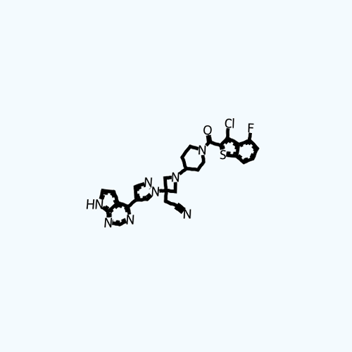 N#CCC1(n2cc(-c3ncnc4[nH]ccc34)cn2)CN(C2CCN(C(=O)c3sc4cccc(F)c4c3Cl)CC2)C1